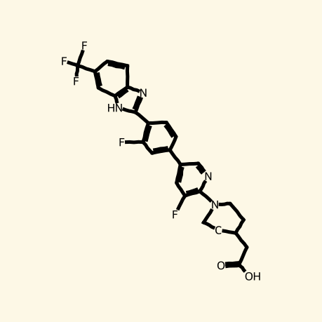 O=C(O)CC1CCN(c2ncc(-c3ccc(-c4nc5ccc(C(F)(F)F)cc5[nH]4)c(F)c3)cc2F)CC1